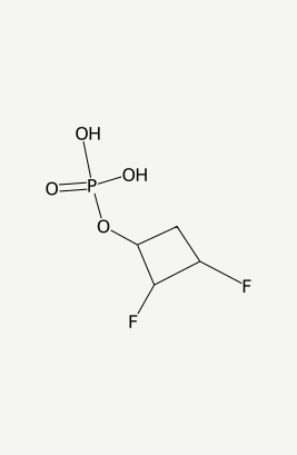 O=P(O)(O)OC1CC(F)C1F